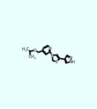 CC(C)OCc1ccnc(N2C=C(c3cn[nH]c3)SC2)c1